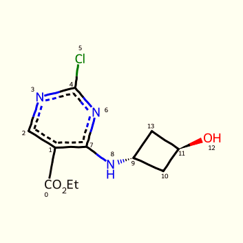 CCOC(=O)c1cnc(Cl)nc1N[C@H]1C[C@H](O)C1